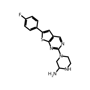 NC1CN(c2ncc3cc(-c4ccc(F)cc4)sc3n2)CCN1